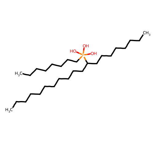 CCCCCCCCCCCC(CCCCCCCC)P(O)(O)(O)CCCCCCCC